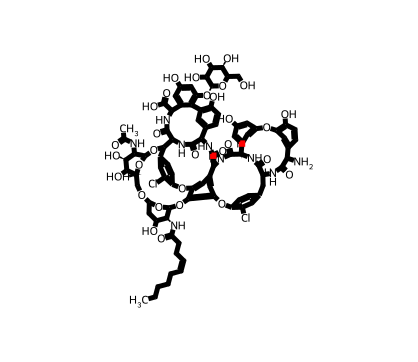 CCCCC/C=C\CCC(=O)N[C@@H]1C(O)CC2OC[C@H]3OC(OC4c5ccc(c(Cl)c5)Oc5cc6cc(c5OC1O2)Oc1ccc(cc1Cl)C[C@H]1NC(=O)C(N)c2ccc(O)c(c2)Oc2cc(O)cc(c2)[C@H](NC1=O)C(=O)N[C@H]6C(=O)NC1C(=O)NC4C(=O)NC(C(=O)O)c2cc(O)cc(O[C@H]4OC(CO)[C@@H](O)C(O)C4O)c2-c2cc1ccc2O)C(NC(C)=O)[C@@H](O)C3O